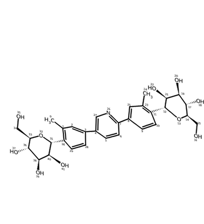 Cc1cc(-c2ccc(-c3ccc([C@H]4O[C@H](CO)[C@@H](O)[C@H](O)[C@@H]4O)c(C)c3)nc2)ccc1[C@H]1O[C@H](CO)[C@@H](O)[C@H](O)[C@@H]1O